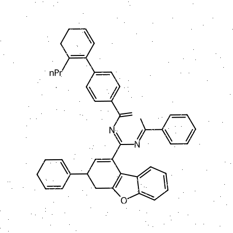 C=C(/N=C(\N=C(/C)c1ccccc1)C1=CC(C2=CCCC=C2)Cc2oc3ccccc3c21)c1ccc(C2=C(CCC)CCC=C2)cc1